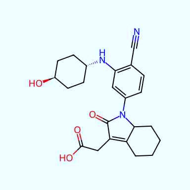 N#Cc1ccc(N2C(=O)C(CC(=O)O)=C3CCCCC32)cc1N[C@H]1CC[C@H](O)CC1